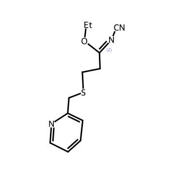 CCO/C(CCSCc1ccccn1)=N\C#N